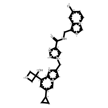 O=C(NCc1ncn2ccc(Cl)cc12)c1cn(Cc2cn3cc(C4CC4)cc(C4(O)COC4)c3n2)nn1